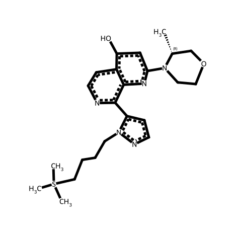 C[C@@H]1COCCN1c1cc(O)c2ccnc(-c3ccnn3CCCCS(C)(C)C)c2n1